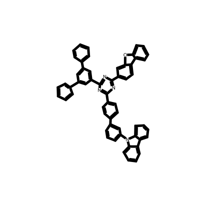 c1ccc(-c2cc(-c3ccccc3)cc(-c3nc(-c4ccc(-c5cccc(-n6c7ccccc7c7ccccc76)c5)cc4)nc(-c4ccc5c(c4)oc4ccccc45)n3)c2)cc1